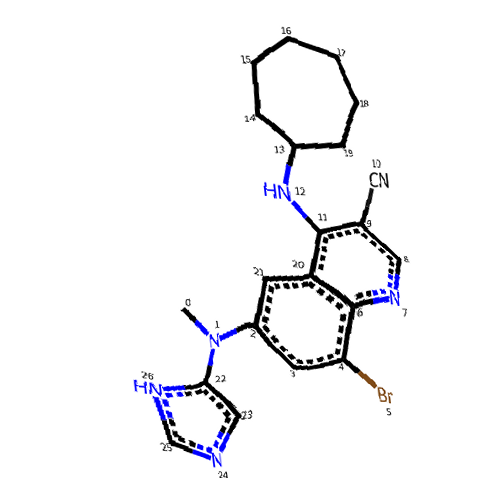 CN(c1cc(Br)c2ncc(C#N)c(NC3CCCCCC3)c2c1)c1cnc[nH]1